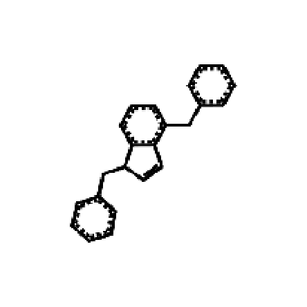 C1=Cc2c(Cc3ccccc3)cccc2[C]1Cc1ccccc1